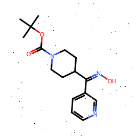 CC(C)(C)OC(=O)N1CCC(/C(=N/O)c2cccnc2)CC1